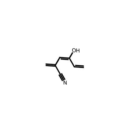 C=C/C(O)=C\C(=C)C#N